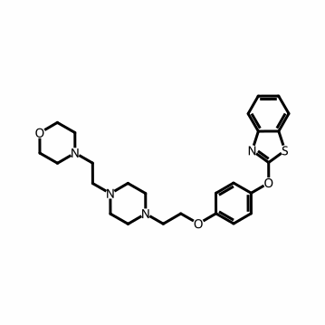 c1ccc2sc(Oc3ccc(OCCN4CCN(CCN5CCOCC5)CC4)cc3)nc2c1